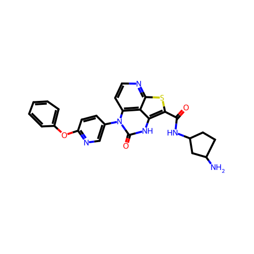 NC1CCC(NC(=O)c2sc3nccc4c3c2NC(=O)N4c2ccc(Oc3ccccc3)nc2)C1